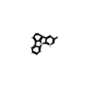 Cc1cnc2c(c1)c1cccc3c4ccccc4n2c31